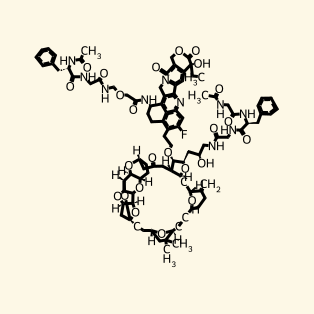 C=C1CC[C@@H]2CC[C@@H]3O[C@@H](CC[C@@]45C[C@H]6OC7C(O[C@H]8CC[C@H](CC(=O)C[C@@H]9[C@@H](OCCc%10c(F)cc%11nc%12c(c%13c%11c%10CC[C@@H]%13NC(=O)COCNC(=O)CNC(=O)[C@H](Cc%10ccccc%10)NC(C)=O)Cn%10c-%12cc%11c(c%10=O)COC(=O)[C@]%11(O)CC)[C@@H](C[C@H](O)CNC(=O)CNC(=O)[C@H](Cc%10ccccc%10)NC(=O)CNC(C)=O)O[C@H]9C[C@H]1O2)O[C@@H]8[C@@H]7O4)[C@H]6O5)CC3(C)C